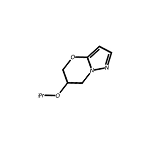 CC(C)OC1COc2ccnn2C1